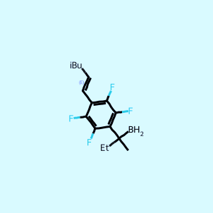 BC(C)(CC)c1c(F)c(F)c(/C=C/C(C)CC)c(F)c1F